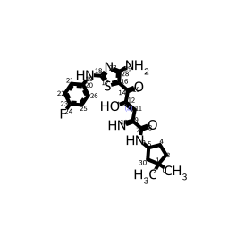 CC1(C)CCC(NC(=O)C(=N)/C=C(\O)C(=O)c2sc(Nc3ccc(F)cc3)nc2N)C1